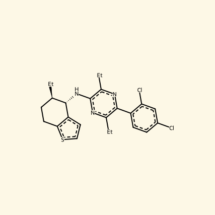 CCc1nc(-c2ccc(Cl)cc2Cl)c(CC)nc1N[C@@H]1c2ccsc2CC[C@H]1CC